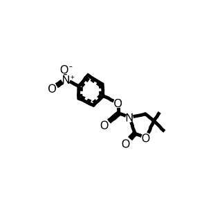 CC1(C)CN(C(=O)Oc2ccc([N+](=O)[O-])cc2)C(=O)O1